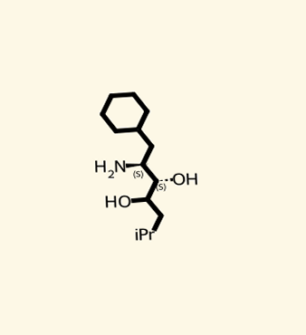 CC(C)CC(O)[C@@H](O)[C@@H](N)CC1CCCCC1